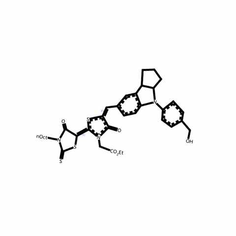 CCCCCCCCN1C(=O)/C(=c2\s/c(=C/c3ccc4c(c3)C3CCCC3N4c3ccc(CO)cc3)c(=O)n2CC(=O)OCC)SC1=S